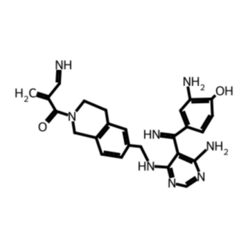 C=C(C=N)C(=O)N1CCc2cc(CNc3ncnc(N)c3C(=N)c3ccc(O)c(N)c3)ccc2C1